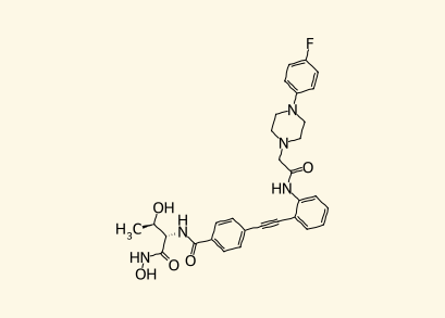 C[C@@H](O)[C@H](NC(=O)c1ccc(C#Cc2ccccc2NC(=O)CN2CCN(c3ccc(F)cc3)CC2)cc1)C(=O)NO